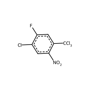 O=[N+]([O-])c1cc(Cl)c(F)cc1C(Cl)(Cl)Cl